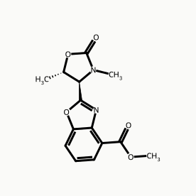 COC(=O)c1cccc2oc([C@H]3[C@H](C)OC(=O)N3C)nc12